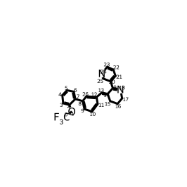 FC(F)(F)Oc1ccccc1-c1cccc(C=C2CCCN=C2c2cccnc2)c1